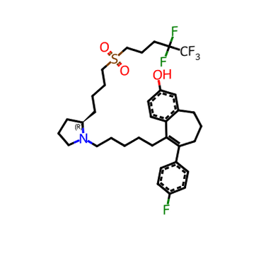 O=S(=O)(CCCC[C@@H]1CCCN1CCCCCC1=C(c2ccc(F)cc2)CCCc2cc(O)ccc21)CCCC(F)(F)C(F)(F)F